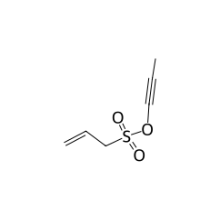 C=CCS(=O)(=O)OC#CC